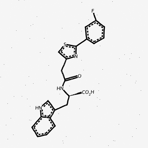 O=C(Cc1csc(-c2cccc(F)c2)n1)N[C@H](Cc1c[nH]c2ccccc12)C(=O)O